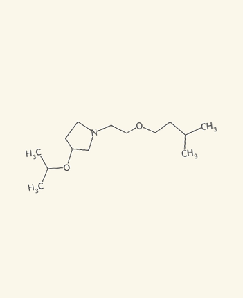 CC(C)CCOCCN1CCC(OC(C)C)C1